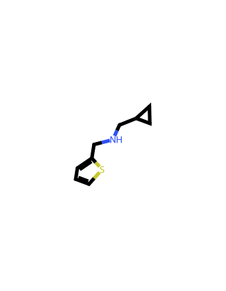 c1csc(CNCC2CC2)c1